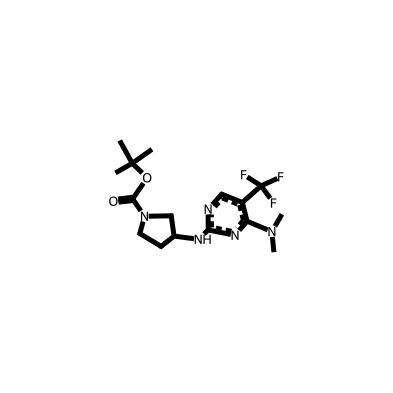 CN(C)c1nc(NC2CCN(C(=O)OC(C)(C)C)C2)ncc1C(F)(F)F